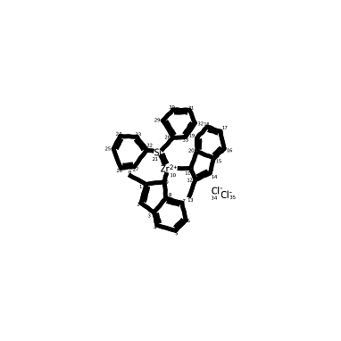 CC1=Cc2ccccc2[CH]1[Zr+2]([CH]1C(C)=Cc2ccccc21)=[Si](c1ccccc1)c1ccccc1.[Cl-].[Cl-]